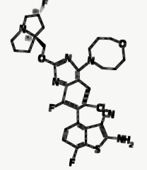 N#Cc1c(N)sc2c(F)ccc(-c3c(Cl)cc4c(N5CCCOCCC5)nc(OC[C@@]56CCCN5C[C@H](F)C6)nc4c3F)c12